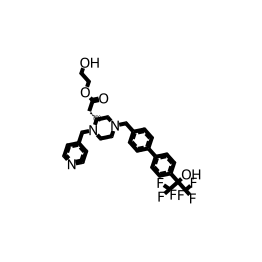 O=C(C[C@@H]1CN(Cc2ccc(-c3ccc(C(O)(C(F)(F)F)C(F)(F)F)cc3)cc2)CCN1Cc1ccncc1)OCCO